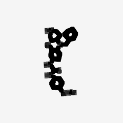 CC(=O)Nc1ccc(NC(=S)Nc2ccc(N(Cc3ccccc3)C3CCNCC3)c(Cl)c2)cc1